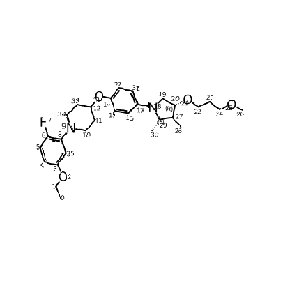 CCOc1ccc(F)c(N2CCC(Oc3ccc(N4C[C@H](OCCCOC)C(C)[C@@H]4C)cc3)CC2)c1